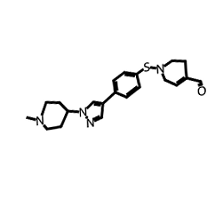 CN1CCC(n2cc(-c3ccc(SN4CC=C(C=O)CC4)cc3)cn2)CC1